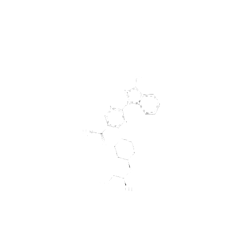 Cc1nn(-c2ncc(C(N)=O)c([C@H]3CC[C@H](O[C@@H](C)CO)CC3)n2)c2ccccc12